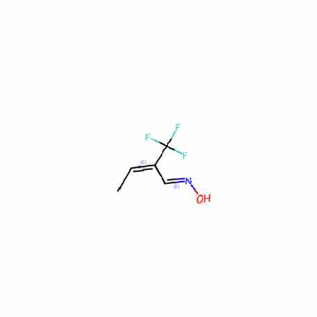 C/C=C(\C=N\O)C(F)(F)F